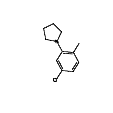 Cc1ccc(Cl)cc1N1CCCC1